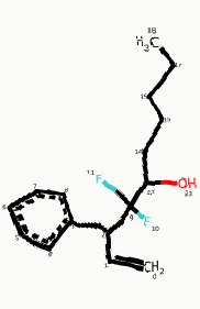 C=CC(c1ccccc1)C(F)(F)C(O)CCCCC